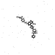 CC1(NC(=O)c2ccccn2)CCN(c2ccc(-c3cc(OCCN4CCN(C(=O)OC(C)(C)C)CC4)cn4ncc(C#N)c34)cn2)CC1